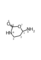 NC1CCNC(=O)O1